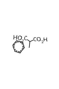 CC(C(=O)O)C(=O)O.c1ccccc1